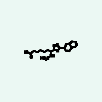 CCC(=O)CCCCC[C@H](NC(=O)O)c1nc(-c2ccc3ccccc3c2)no1